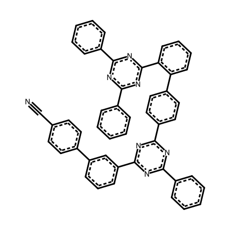 N#Cc1ccc(-c2cccc(-c3nc(-c4ccccc4)nc(-c4ccc(-c5ccccc5-c5nc(-c6ccccc6)nc(-c6ccccc6)n5)cc4)n3)c2)cc1